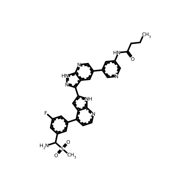 CCCC(=O)Nc1cncc(-c2cnc3[nH]nc(-c4cc5c(-c6cc(F)cc(C(N)S(C)(=O)=O)c6)ccnc5[nH]4)c3c2)c1